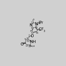 Cc1nc2cc(OC[C@@H]3CC(=O)C[C@H](C)N3)cc(C(F)(F)F)c2n1C(C)C